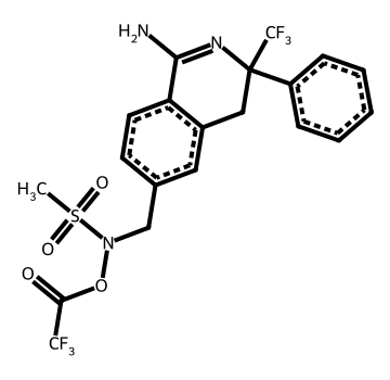 CS(=O)(=O)N(Cc1ccc2c(c1)CC(c1ccccc1)(C(F)(F)F)N=C2N)OC(=O)C(F)(F)F